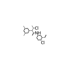 C=Cc1cc(NC(=C)C(c2cc(C)cc(C)c2)C(C)Cl)ccc1Cl